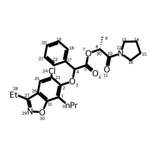 CCCc1c(OC(C(=O)O[C@H](C)C(=O)N2CCCC2)c2ccccc2)c(Cl)cc2c(CC)noc12